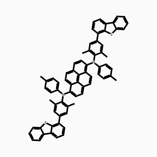 Cc1ccc(N(c2c(C)cc(-c3cccc4c3sc3ccccc34)cc2C)c2ccc3ccc4c(N(c5ccc(C)cc5)c5c(C)cc(-c6cccc7c6sc6ccccc67)cc5C)ccc5ccc2c3c54)cc1